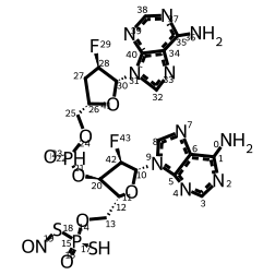 Nc1ncnc2c1ncn2[C@@H]1O[C@H](CO[P@@](=O)(S)SN=O)[C@@H](O[PH](=O)OC[C@@H]2C[C@@H](F)[C@H](n3cnc4c(N)ncnc43)O2)[C@H]1F